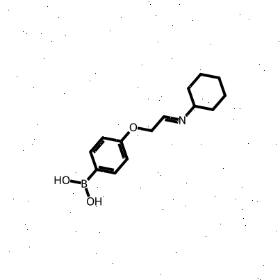 OB(O)c1ccc(OCC=NC2CCCCC2)cc1